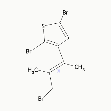 C/C(CBr)=C(/C)c1cc(Br)sc1Br